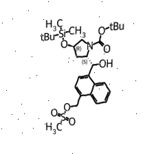 CC(C)(C)OC(=O)N1C[C@H](O[Si](C)(C)C(C)(C)C)C[C@H]1C(O)c1ccc(COS(C)(=O)=O)c2ccccc12